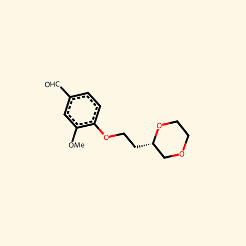 COc1cc(C=O)ccc1OCC[C@H]1COCCO1